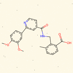 COc1ccc(-c2cc(C(=O)NCc3c(C)cccc3C(=O)O)ccn2)cc1OC